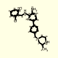 CC1CN(Cc2ccc(-c3cnc(N)c(NCc4c(Cl)cccc4Cl)n3)cc2)CCN1